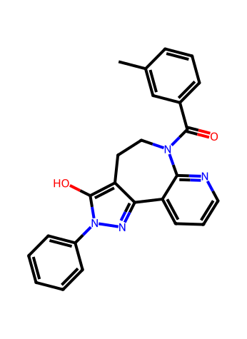 Cc1cccc(C(=O)N2CCc3c(nn(-c4ccccc4)c3O)-c3cccnc32)c1